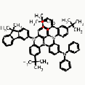 CC(C)(C)c1ccc2c(c1)B1c3ccc(N(c4ccccc4)c4ccccc4)cc3N(c3ccc(C(C)(C)C)cc3-c3ccccc3)c3cc(C(C)(C)C)cc(c31)N2c1ccc2c(c1)-c1ccccc1C2(C)C